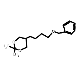 CC1(C)OCC(CCCCOCc2ccccc2)CO1